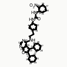 O=C(Nc1ccc(CCNc2ncnc3oc(-c4ccccc4)c(-c4ccccc4)c23)cc1)Nc1ccccc1[N+](=O)[O-]